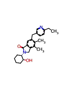 CCc1ccc(Cc2cc3c(c(C)c2C)CN([C@H]2CCCC[C@@H]2O)C3=O)cn1